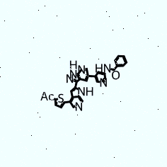 CC(=O)c1ccc(-c2cncc3[nH]c(-c4n[nH]c5ncc(-c6cncc(NC(=O)c7ccccc7)c6)cc45)cc23)s1